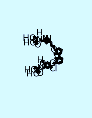 COc1cc(OCc2cccc(-c3cccc(OCCCn4cc(CNC(CO)C(=O)O)nn4)c3C)c2C)c(Cl)cc1CNC(CO)C(=O)O